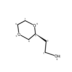 OCC[C@H]1COCCO1